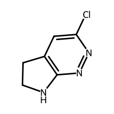 Clc1cc2c(nn1)NCC2